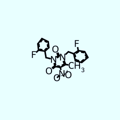 Cc1c([N+](=O)[O-])c(=O)n(Cc2ccccc2F)c(=O)n1Cc1ccccc1F